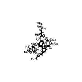 CN(C(=O)OC(C)(C)C)[C@@H]1[C@@H](O)[C@@H](O[C@@H]2[C@@H](O)[C@H](C3OC(CNCCCN)=CC[C@H]3NC(=O)OC(C)(C)C)[C@@H](NC(=O)OC(C)(C)C)C[C@H]2NC(=O)[C@@H](O)CCNC(=O)OC(C)(C)C)OC[C@]1(C)O